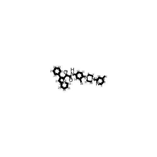 Cc1ccnc(N2CCN(c3ccc(NC(=O)C(=O)c4c(-c5ccccc5)cc5ccccn45)cc3C)CC2)c1